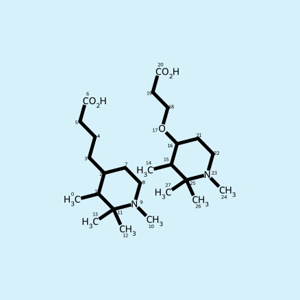 CC1C(CCCC(=O)O)CCN(C)C1(C)C.CC1C(OCCC(=O)O)CCN(C)C1(C)C